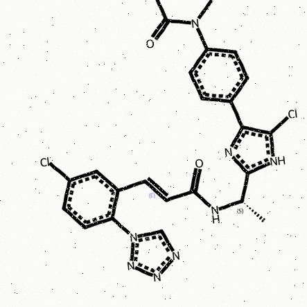 C[C@H](NC(=O)/C=C/c1cc(Cl)ccc1-n1cnnn1)c1nc(-c2ccc(N(C)C(=O)O)cc2)c(Cl)[nH]1